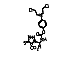 CC(NC(=O)Oc1ccc(N(CCCl)CCCl)cc1)n1nnc(=S)n1C(=O)O